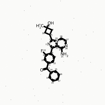 CC1(O)CC(c2nc(-c3ccc(C(=O)c4ccccc4)cc3F)c3c(N)nccn23)C1